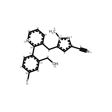 Cn1nc(C#N)cc1Cc1cccnc1-c1ccc(F)cc1CO